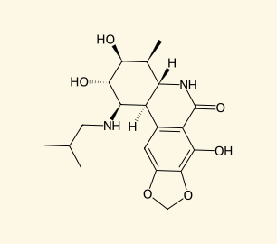 CC(C)CN[C@H]1[C@H](O)[C@@H](O)[C@@H](C)[C@@H]2NC(=O)c3c(cc4c(c3O)OCO4)[C@H]21